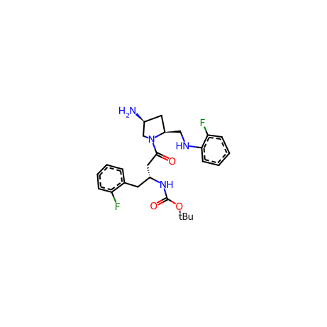 CC(C)(C)OC(=O)N[C@@H](CC(=O)N1C[C@@H](N)C[C@H]1CNc1ccccc1F)Cc1ccccc1F